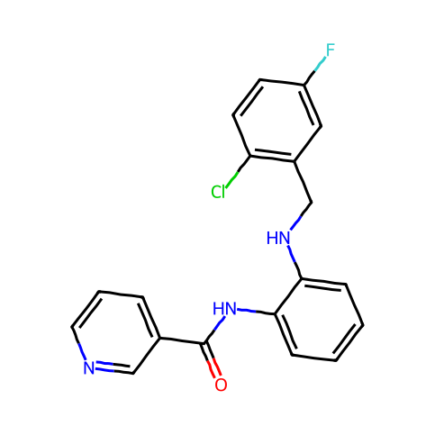 O=C(Nc1ccccc1NCc1cc(F)ccc1Cl)c1cccnc1